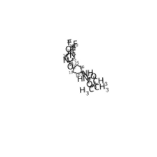 CC(C)(C)OC(=O)NNC1CCC(Oc2cnc(OC(F)(F)F)cn2)CC1